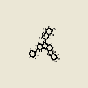 c1ccc(-c2ccc3c(n2)c2c4sc5ccccc5c4ccc2n3-c2cnc3ccccc3c2)cc1